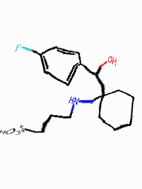 O=S(=O)(O)CCCNC1(C(O)c2ccc(F)cc2)CCCCC1